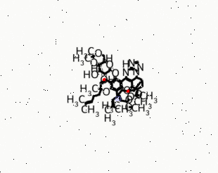 COC(=O)/C(C)=C\CC12OC(C)(C)C3CC(C1=O)C1C4=C(Nc5ncnn51)c1c(O[C@@H]5O[C@@H]6COC(C)(C)O[C@H]6[C@H](O)[C@H]5O)c5c(c(CC=C(C)C)c1OC432)OC(C)(CCC=C(C)C)C=C5